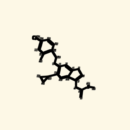 C=C(CC1=CCc2cc(CCc3ccc(Cl)cc3C)c(C3CC3)cc21)SC